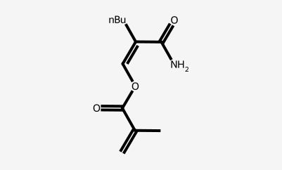 C=C(C)C(=O)OC=C(CCCC)C(N)=O